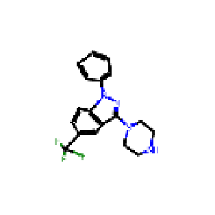 FC(F)(F)c1ccc2c(c1)c(N1CCNCC1)nn2-c1ccccc1